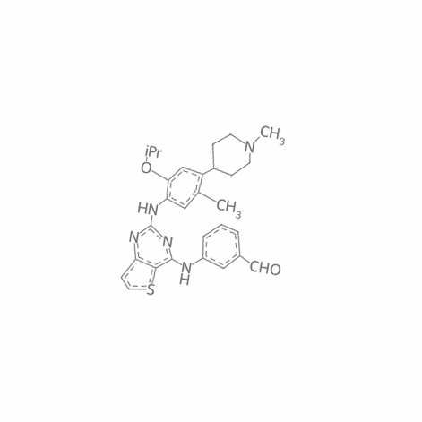 Cc1cc(Nc2nc(Nc3cccc(C=O)c3)c3sccc3n2)c(OC(C)C)cc1C1CCN(C)CC1